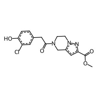 COC(=O)c1cc2n(n1)CCN(C(=O)Cc1ccc(O)c(Cl)c1)C2